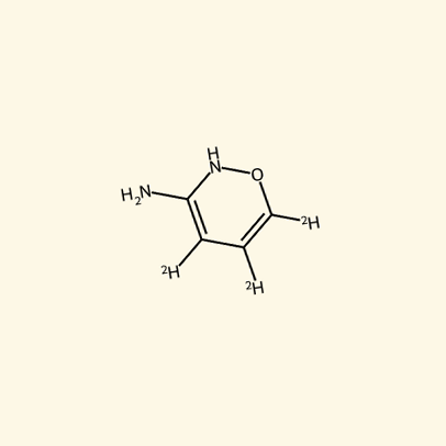 [2H]C1=C([2H])C([2H])=C(N)NO1